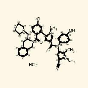 Cc1c(N(C(=O)c2cc(-c3cc(Cl)ccc3C(=O)N3Cc4ccccc4C[C@H]3CN3CCOCC3)n(C)c2)c2ccc(O)cc2)cc(C#N)n1C.Cl